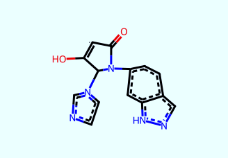 O=C1[C]=C(O)C(n2ccnc2)N1c1ccc2cn[nH]c2c1